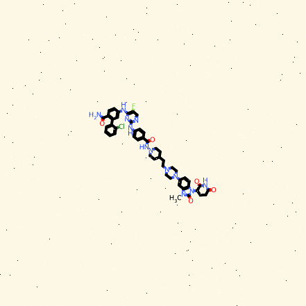 Cn1c(=O)n(C2CCC(=O)NC2=O)c2ccc(N3CCN(CCC4CCN(NC(=O)c5ccc(Nc6ncc(F)c(Nc7ccc(C(N)=O)c(-c8ccccc8Cl)c7)n6)cc5)CC4)CC3)cc21